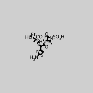 CCO.C[C@H]1[C@H](NC(=O)C(=NOC(C)(C)C(=O)O)c2csc(N)n2)C(=O)N1S(=O)(=O)O